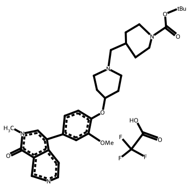 COc1cc(-c2cn(C)c(=O)c3cnccc23)ccc1OC1CCN(CC2CCN(C(=O)OC(C)(C)C)CC2)CC1.O=C(O)C(F)(F)F